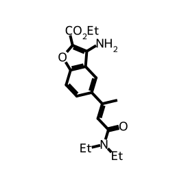 CCOC(=O)c1oc2ccc(/C(C)=C/C(=O)N(CC)CC)cc2c1N